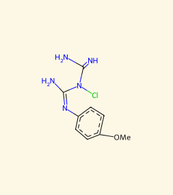 COc1ccc(N=C(N)N(Cl)C(=N)N)cc1